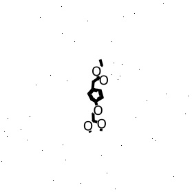 CCOC(=O)Cc1ccc(OCC(OC)OC)cc1